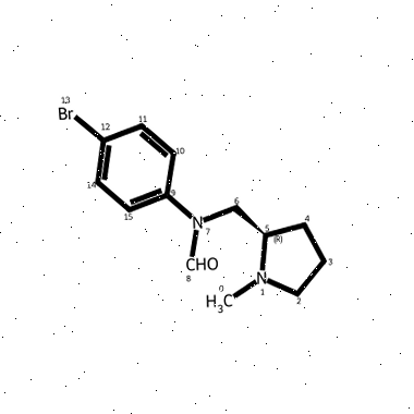 CN1CCC[C@@H]1CN(C=O)c1ccc(Br)cc1